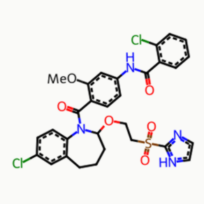 COc1cc(NC(=O)c2ccccc2Cl)ccc1C(=O)N1c2ccc(Cl)cc2CCCC1OCCS(=O)(=O)c1ncc[nH]1